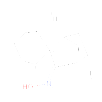 O/N=C1/[C@@H]2CC[C@@H](C2)C12CCCCC2